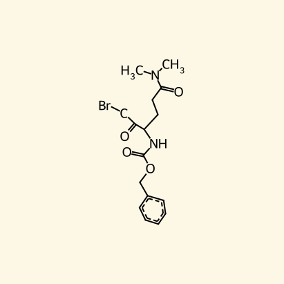 CN(C)C(=O)CCC(NC(=O)OCc1ccccc1)C(=O)CBr